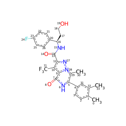 Cc1ccc(-c2[nH]c(=O)c3c(C(F)(F)F)c(C(=O)N[C@H](CCO)c4ccc(F)cc4)nn3c2C)cc1C